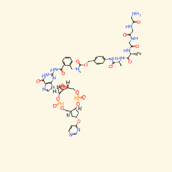 CC(C)[C@H](NC(=O)CNC(=O)CNC(=O)CN)C(=O)N[C@@H](C)C(=O)Nc1ccc(COC(=O)N(C)Cc2ccccc2C(=O)Nc2nc3c(ncn3[C@@H]3O[C@@H]4CO[PH](=O)O[C@H]5C[C@H](Oc6ccncn6)C[C@@H]5CO[PH](=O)O[C@@H]3[C@@H]4O)c(=O)[nH]2)cc1